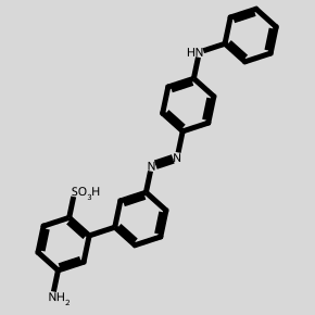 Nc1ccc(S(=O)(=O)O)c(-c2cccc(N=Nc3ccc(Nc4ccccc4)cc3)c2)c1